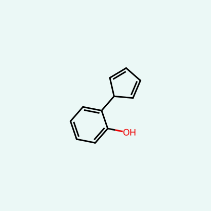 Oc1ccccc1C1C=CC=C1